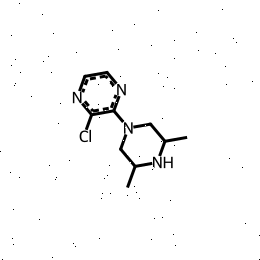 CC1CN(c2nccnc2Cl)CC(C)N1